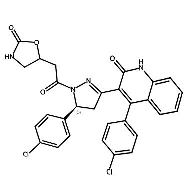 O=C1NCC(CC(=O)N2N=C(c3c(-c4ccc(Cl)cc4)c4ccccc4[nH]c3=O)C[C@H]2c2ccc(Cl)cc2)O1